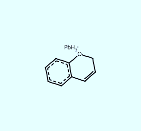 C1=Cc2ccccc2OC1.[PbH2]